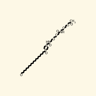 CC(=O)COCCOCCNC(=O)COCCOCCNC(=O)CN1CCN(C(=O)CCCCCCCCCCCCCCCCCCC=O)CC1